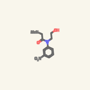 CNCC(=O)N(CCO)c1cccc([N+](=O)[O-])c1